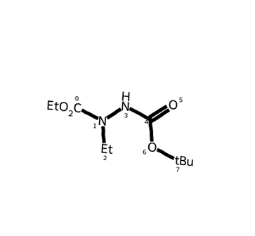 CCOC(=O)N(CC)NC(=O)OC(C)(C)C